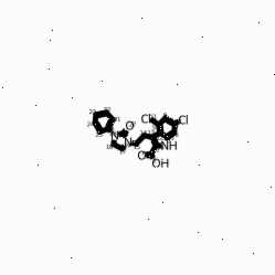 O=C(O)c1[nH]c2cc(Cl)cc(Cl)c2c1CCN1CCN(c2ccccc2)C1=O